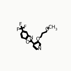 COCCCOc1cnccc1-c1nc2cc(C(F)(F)F)ccc2o1